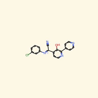 N#C/C(=N\c1cccc(Cl)c1)c1ccnc(-c2ccncc2)c1O